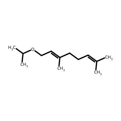 CC(C)=CCC/C(C)=C/COC(C)C